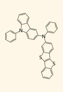 c1ccc(N(c2ccc3c(c2)sc2c4ccccc4sc32)c2ccc3c(c2)c2ccccc2n3-c2ccccc2)cc1